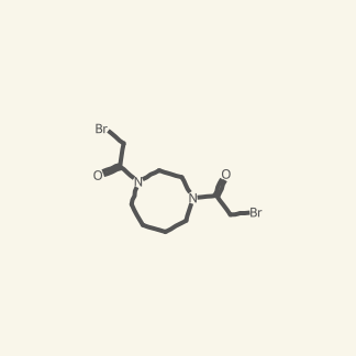 O=C(CBr)N1CCCCN(C(=O)CBr)CC1